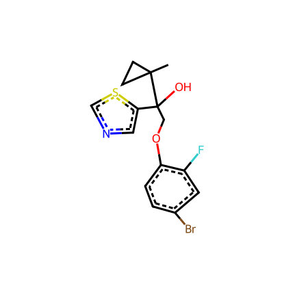 CC1(C(O)(COc2ccc(Br)cc2F)c2cncs2)CC1